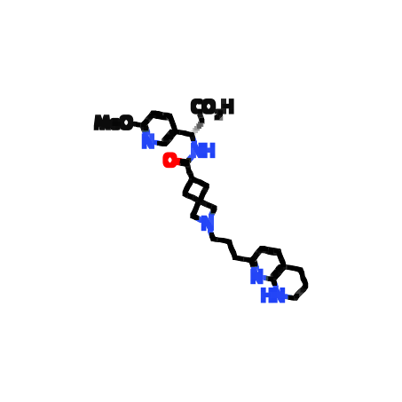 COc1ccc([C@H](CC(=O)O)NC(=O)C2CC3(C2)CN(CCCc2ccc4c(n2)NCCC4)C3)cn1